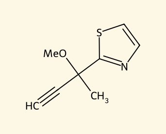 C#CC(C)(OC)c1nccs1